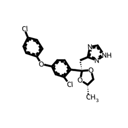 C[C@H]1CO[C@](Cc2nc[nH]n2)(c2ccc(Oc3ccc(Cl)cc3)cc2Cl)O1